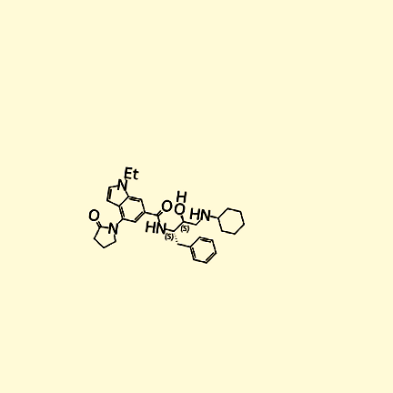 CCn1ccc2c(N3CCCC3=O)cc(C(=O)N[C@@H](Cc3ccccc3)[C@@H](O)CNC3CCCCC3)cc21